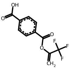 C=C(OC(=O)c1ccc(C(=O)O)cc1)C(F)(F)F